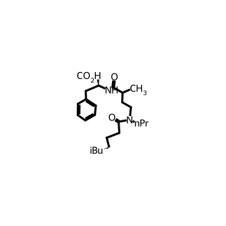 CCCN(CCC(C)C(=O)N[C@@H](Cc1ccccc1)C(=O)O)C(=O)CCC[C@@H](C)CC